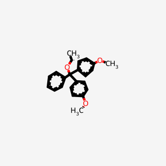 C[CH]OC(c1ccccc1)(c1ccc(OC)cc1)c1ccc(OC)cc1